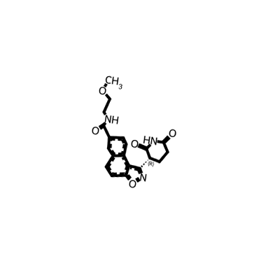 COCCNC(=O)c1ccc2c(ccc3onc([C@H]4CCC(=O)NC4=O)c32)c1